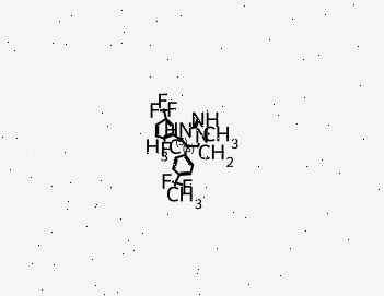 C=C1[C@@H](c2ccc(C(C)(F)F)cc2)[C@@](C)(c2cc(C(F)(F)F)ccc2F)NC(=N)N1C